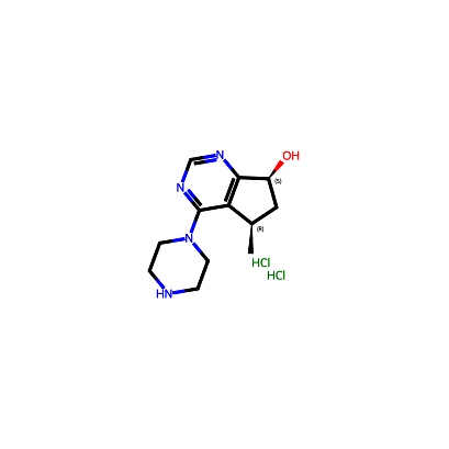 C[C@@H]1C[C@H](O)c2ncnc(N3CCNCC3)c21.Cl.Cl